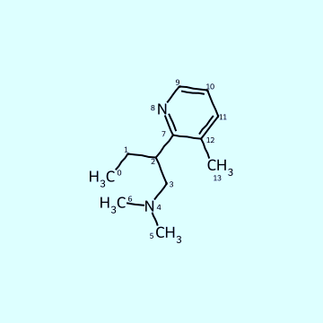 CCC(CN(C)C)c1ncccc1C